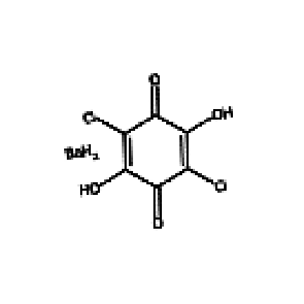 O=C1C(O)=C(Cl)C(=O)C(O)=C1Cl.[BaH2]